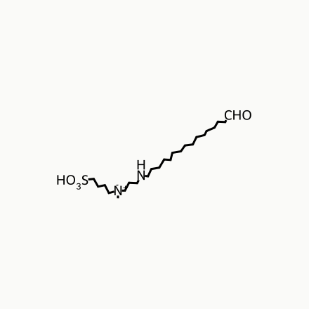 C[N+](C)(CCCCS(=O)(=O)O)CCCNCCCCCCCCCCCCCCCC=O